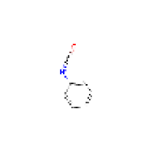 O=C=[N+]c1ccccc1